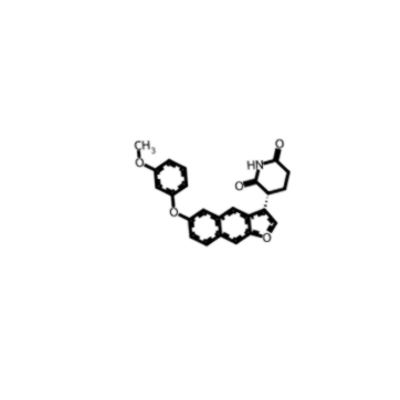 COc1cccc(Oc2ccc3cc4occ([C@H]5CCC(=O)NC5=O)c4cc3c2)c1